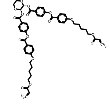 C=CC(=O)OCCCCCOc1ccc(C(=O)Oc2ccc(C(=O)O[C@H]3OCCO[C@@H]3OC(=O)c3ccc(OC(=O)c4ccc(OCCCCCOC(=O)C=C)cc4)cc3)cc2)cc1